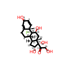 C[C@]12C=CC(O)C=C1CC[C@H]1[C@@H]3C[C@@H](O)[C@](O)(C(=O)CO)[C@@]3(C)C[C@H](O)[C@@]12F